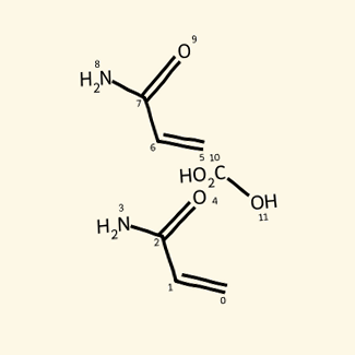 C=CC(N)=O.C=CC(N)=O.O=C(O)O